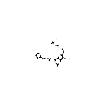 Cc1c(CC(C)NC(=O)OC(C)(C)C)sc2c(OC(=O)NCc3ccco3)nc(Cl)nc12